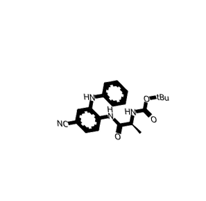 C[C@H](NC(=O)OC(C)(C)C)C(=O)Nc1ccc(C#N)cc1Nc1ccccc1